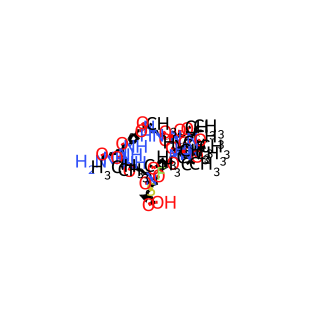 CC[C@H](C)C([C@@H](CC(=O)N1C[C@@H](OC(=O)NCCN(C)C(=O)OCc2ccc(NC(=O)[C@H](CCCNC(N)=O)NC(=O)[C@@H](NC(=O)CCCCCN3C(=O)CC(SCC4(CC(=O)O)CC4)C3=O)C(C)C)cc2)C[C@H]1[C@H](OC)[C@@H](C)C(=O)NCC(=O)c1ccc(OC)c(F)c1)OC)N(C)C(=O)[C@@H](NC(=O)[C@H](C(C)C)N(C)C)C(C)C